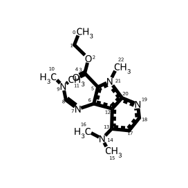 CCOC(=O)c1c(/N=C\N(C)C)c2c(N(C)C)ccnc2n1C